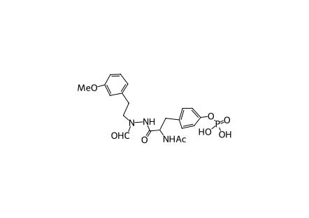 COc1cccc(CCN(C=O)NC(=O)C(Cc2ccc(OP(=O)(O)O)cc2)NC(C)=O)c1